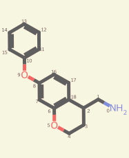 NCC1CCOc2cc(Oc3ccccc3)ccc21